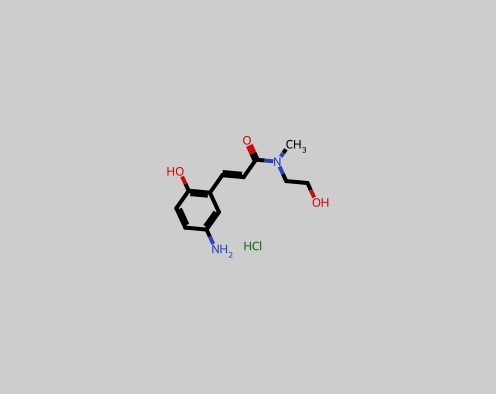 CN(CCO)C(=O)C=Cc1cc(N)ccc1O.Cl